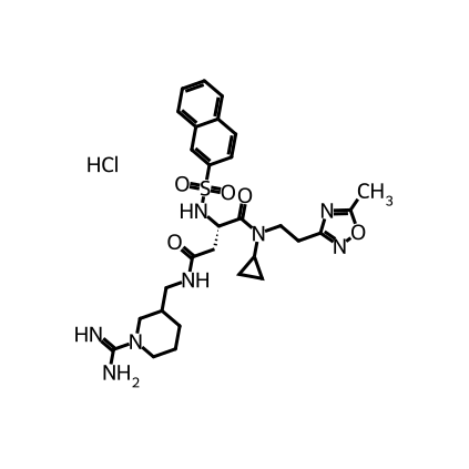 Cc1nc(CCN(C(=O)[C@H](CC(=O)NCC2CCCN(C(=N)N)C2)NS(=O)(=O)c2ccc3ccccc3c2)C2CC2)no1.Cl